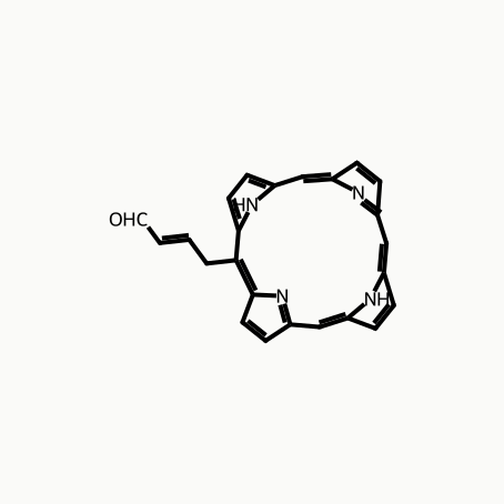 O=C/C=C/Cc1c2nc(cc3ccc(cc4nc(cc5ccc1[nH]5)C=C4)[nH]3)C=C2